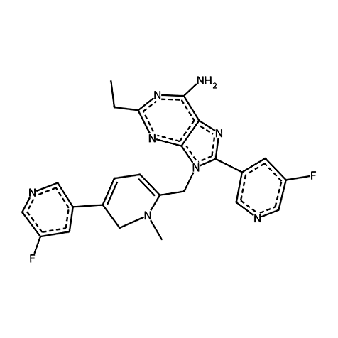 CCc1nc(N)c2nc(-c3cncc(F)c3)n(CC3=CC=C(c4cncc(F)c4)CN3C)c2n1